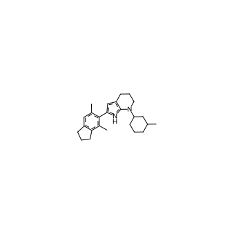 Cc1cc2c(c(C)c1-c1cc3c([nH]1)N(C1CCCC(C)C1)CCC3)CCC2